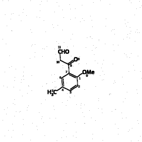 COc1ccc(C)cc1C(=O)CC=O